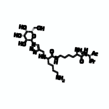 CC(=O)[C@@H](NC(=O)C(N)CCCCNC(=O)C(CCCCN)NCc1cn(C2O[C@@H](CO)[C@@H](O)[C@@H](O)[C@@H]2O)nn1)C(C)C